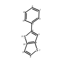 c1ccc(-c2cc3sccc3s2)cc1